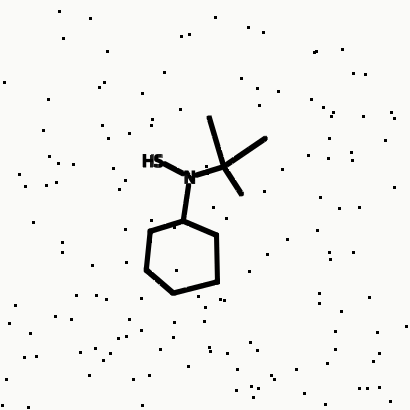 CC(C)(C)N(S)C1CCCCC1